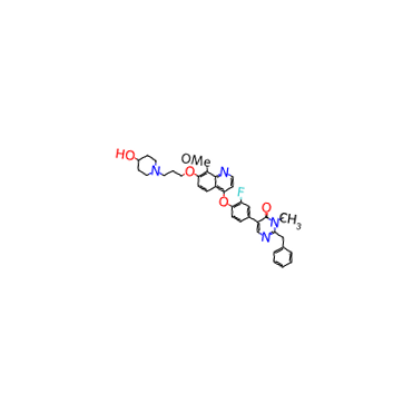 COc1c(OCCCN2CCC(O)CC2)ccc2c(Oc3ccc(-c4cnc(Cc5ccccc5)n(C)c4=O)cc3F)ccnc12